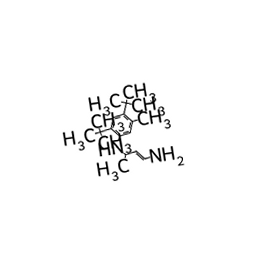 Cc1cc(NC(C)/C=C/N)c(C(C)(C)C)cc1C(C)(C)C